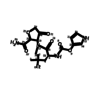 CCC(C)(C)C[C@H](NC(=O)Oc1cc[nH]c1)C(=O)N(C)C1C(=O)COC1C(N)=O